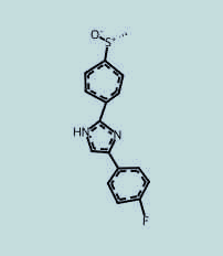 C[S@@+]([O-])c1ccc(-c2nc(-c3ccc(F)cc3)c[nH]2)cc1